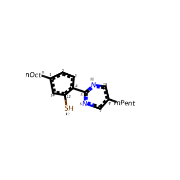 CCCCCCCCc1ccc(-c2ncc(CCCCC)cn2)c(S)c1